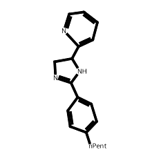 CCCCCc1ccc(C2=NCC(c3ccccn3)N2)cc1